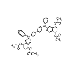 CC(=O)OC1CCC(OC(C)=O)c2cc(N(c3ccccc3)c3ccc(-c4ccc(N(c5ccccc5)c5ccc6c(c5)C(OC(C)=O)CCC6OC(C)=O)cc4)cc3)ccc21